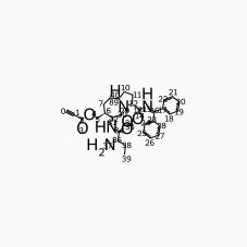 C#CC(=O)OC[C@H]1CC[C@H]2CC[C@@H](C(=O)NC(c3ccccc3)c3ccccc3)N2C(=O)[C@H]1NC(=O)[C@@H](N)CC